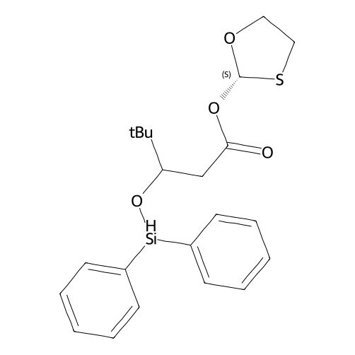 CC(C)(C)C(CC(=O)O[C@@H]1OCCS1)O[SiH](c1ccccc1)c1ccccc1